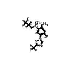 Cc1cc(F)c(-n2cnc(C(F)(F)F)n2)cc1[S+]([O-])CC(F)(F)C(F)(F)F